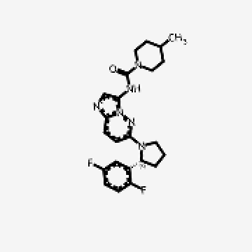 CC1CCN(C(=O)Nc2cnc3ccc(N4CCC[C@@H]4c4cc(F)ccc4F)nn23)CC1